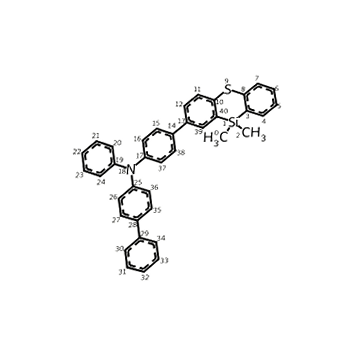 C[Si]1(C)c2ccccc2Sc2ccc(-c3ccc(N(c4ccccc4)c4ccc(-c5ccccc5)cc4)cc3)cc21